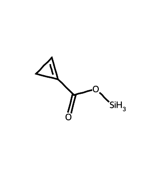 O=C(O[SiH3])C1=CC1